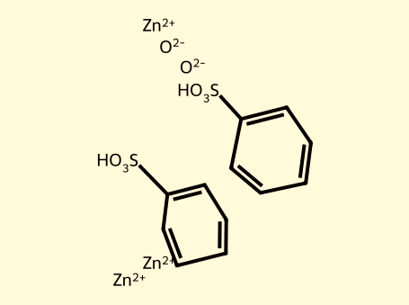 O=S(=O)(O)c1ccccc1.O=S(=O)(O)c1ccccc1.[O-2].[O-2].[Zn+2].[Zn+2].[Zn+2]